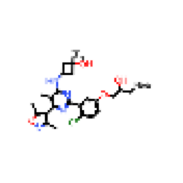 CNCC(O)COc1ccc(Cl)c(-c2nc(NC3CC(O)(C(F)(F)F)C3)c(C)c(-c3c(C)noc3C)n2)c1